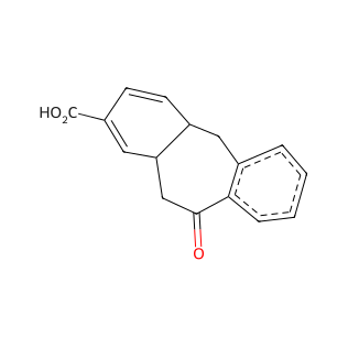 O=C(O)C1=CC2CC(=O)c3ccccc3CC2C=C1